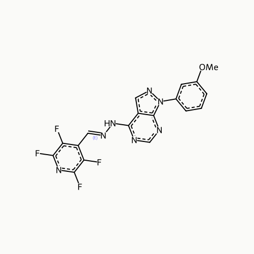 COc1cccc(-n2ncc3c(N/N=C/c4c(F)c(F)nc(F)c4F)ncnc32)c1